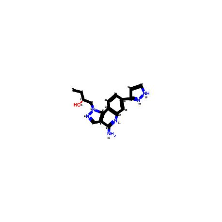 CC[C@@H](O)Cn1ncc2c(N)nc3cc(-c4cc[nH]n4)ccc3c21